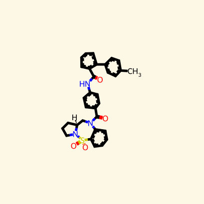 Cc1ccc(-c2ccccc2C(=O)Nc2ccc(C(=O)N3C[C@@H]4CCCN4S(=O)(=O)c4ccccc43)cc2)cc1